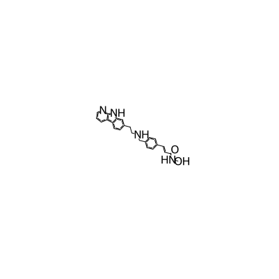 O=C(/C=C/c1ccc(CNCCc2ccc3c(c2)[nH]c2ncccc23)cc1)NO